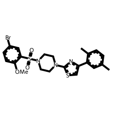 COc1ccc(Br)cc1S(=O)(=O)N1CCN(c2nc(-c3cc(C)ccc3C)cs2)CC1